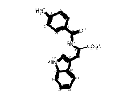 Cc1ccc(C(=O)N[C@H](Cc2c[nH]c3ccccc23)C(=O)O)cc1